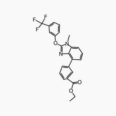 CCOC(=O)c1cccc(-c2cccc3c2nc(Oc2cccc(C(F)(F)F)c2)n3C)c1